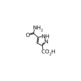 NC(=O)c1cc(C(=O)O)n[nH]1